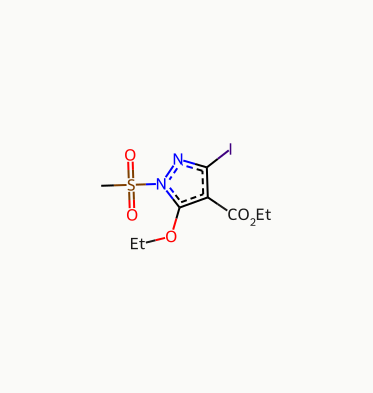 CCOC(=O)c1c(I)nn(S(C)(=O)=O)c1OCC